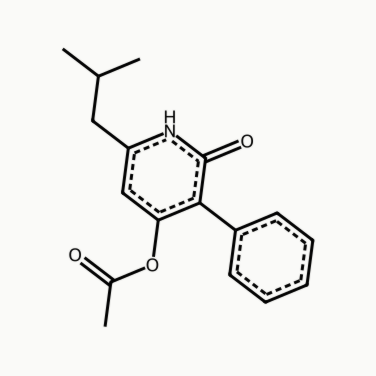 CC(=O)Oc1cc(CC(C)C)[nH]c(=O)c1-c1ccccc1